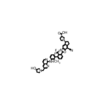 Cc1c(Nc2nccc3cc(CN4CC[C@@H](O)C4)cnc23)cccc1-c1cccc(-c2nc3cc4c(c(C#N)c3o2)CC[C@H]4N2CC[C@@H](C(=O)O)C2)c1C(F)(F)F